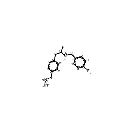 CC(C)NCc1ccc(CC(C)NCc2ccc(F)cc2)cc1